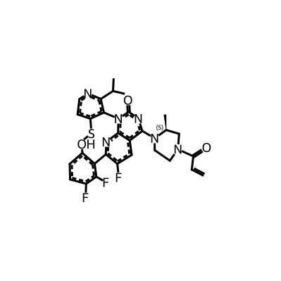 C=CC(=O)N1CCN(c2nc(=O)n(-c3c(SC)ccnc3C(C)C)c3nc(-c4c(O)ccc(F)c4F)c(F)cc23)[C@@H](C)C1